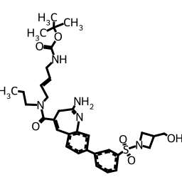 CCCN(C/C=C/CNC(=O)OC(C)(C)C)C(=O)C1=Cc2ccc(-c3cccc(S(=O)(=O)N4CC(CO)C4)c3)cc2N=C(N)C1